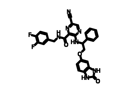 N#Cc1cnc(NC(COc2ccc3[nH]c(=O)[nH]c3c2)c2ccccc2)c(C(=O)NCc2ccc(F)c(F)c2)n1